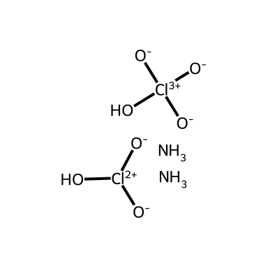 N.N.[O-][Cl+2]([O-])O.[O-][Cl+3]([O-])([O-])O